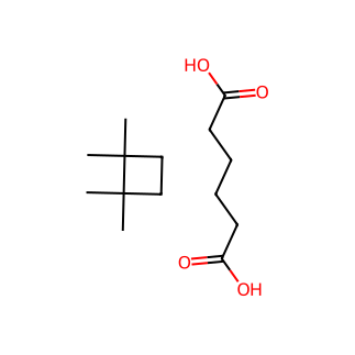 CC1(C)CCC1(C)C.O=C(O)CCCCC(=O)O